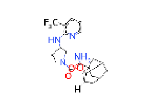 NC(=O)C12CC3CC(C1)C(OC(=O)N1CCC(Nc4ncccc4C(F)(F)F)C1)[C@@H](C3)C2